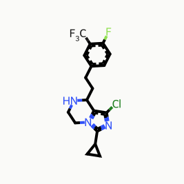 Fc1ccc(CCC2NCCn3c(C4CC4)nc(Cl)c32)cc1C(F)(F)F